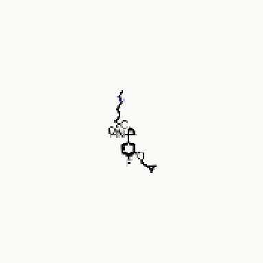 C/C=C/CCCS(=O)(=O)NC1(c2ccc(F)c(OCC3CC3)c2)CC1